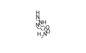 COc1cc2c(NC3CCNC3)nccc2cc1C(N)=O